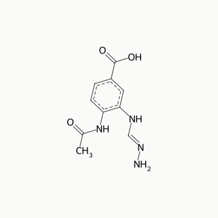 CC(=O)Nc1ccc(C(=O)O)cc1NC=NN